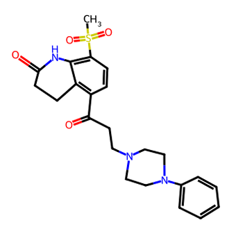 CS(=O)(=O)c1ccc(C(=O)CCN2CCN(c3ccccc3)CC2)c2c1NC(=O)CC2